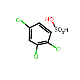 Clc1ccc(Cl)c(Cl)c1.O=S(=O)(O)O